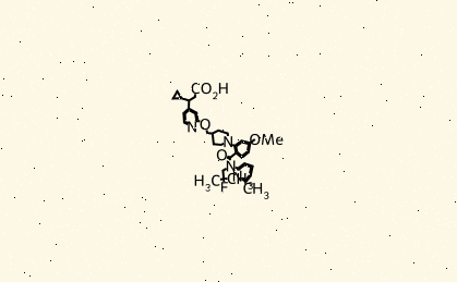 COc1ccc(C(=O)N(CC(C)(C)F)c2cccc(C)n2)c(N2CCC(COc3cc(C(CC(=O)O)C4CC4)ccn3)CC2)c1